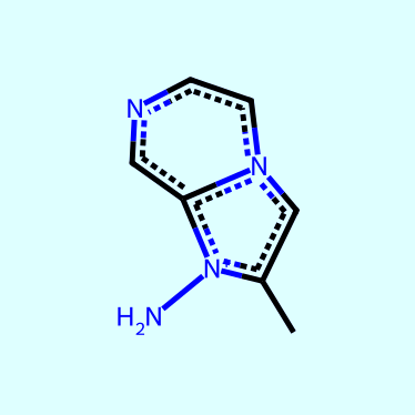 Cc1cn2ccncc2[n+]1N